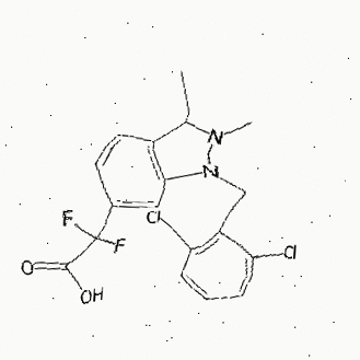 CC1c2ccc(C(F)(F)C(=O)O)cc2N(Cc2c(Cl)cccc2Cl)N1C